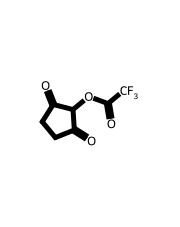 O=C1CCC(=O)C1OC(=O)C(F)(F)F